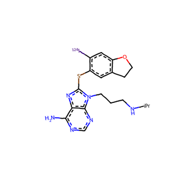 CC(C)NCCCn1c(Sc2cc3c(cc2[124I])OCC3)nc2c(N)ncnc21